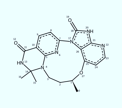 C[C@H]1CCN2c3nc(ccc3C(=O)NC2(C)C)-n2c(=O)[nH]c3nccc(c32)O1